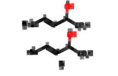 CCCCC=CC(O)C(=O)O.CCCCC=CC(O)C(=O)O.[B].[B]